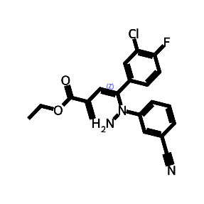 C=C(/C=C(/c1ccc(F)c(Cl)c1)N(N)c1cccc(C#N)c1)C(=O)OCC